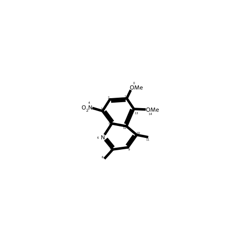 COc1cc([N+](=O)[O-])c2nc(C)cc(C)c2c1OC